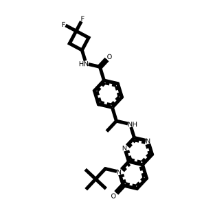 CC(Nc1ncc2ccc(=O)n(CC(C)(C)C)c2n1)c1ccc(C(=O)NC2CC(F)(F)C2)cc1